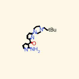 CC(C)(C)CCN1CCCN(c2cccc(C(=O)c3cccnc3N)n2)CC1